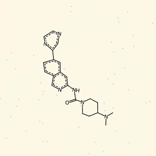 CN(C)C1CCN(C(=O)Nc2cc3cc(-c4cnccn4)ccc3cn2)CC1